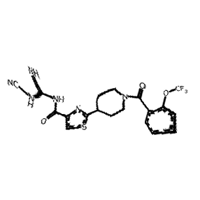 N#CNC(=N)NC(=O)c1csc(C2CCN(C(=O)c3ccccc3OC(F)(F)F)CC2)n1